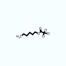 CCCCC[CH]OC(=O)C(Cl)(Cl)Cl